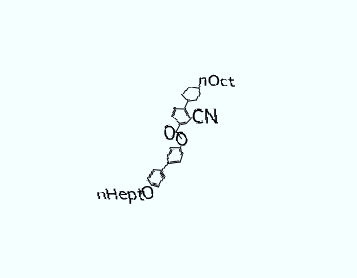 CCCCCCCCC1CCC(c2ccc(C(=O)Oc3ccc(-c4ccc(OCCCCCCC)cc4)cc3)cc2C#N)CC1